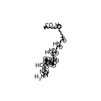 CC(C)(CCCCc1ccccc1CCCCCC1(C(=O)O)CC1)C(=O)CCNC(=O)CCNC(=O)C(O)C(C)(C)COP(=O)(O)OP(=O)(O)OCC1OC(n2cnc3c(N)ncnc32)C(O)C1OP(=O)(O)O